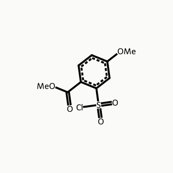 COC(=O)c1ccc(OC)cc1S(=O)(=O)Cl